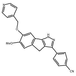 COc1cc2c(cc1OCc1ccncc1)-c1[nH]nc(-c3ccc(C#N)cc3)c1C2